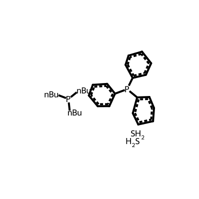 CCCCP(CCCC)CCCC.S.S.c1ccc(P(c2ccccc2)c2ccccc2)cc1